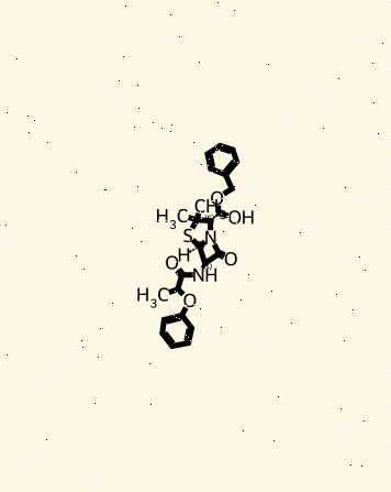 CC(Oc1ccccc1)C(=O)N[C@@H]1C(=O)N2[C@@H]1SC(C)(C)[C@@H]2C(O)OCc1ccccc1